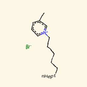 CCCCCCCCCCCC[n+]1cccc(C)c1.[Br-]